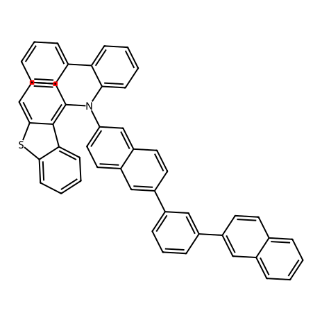 c1ccc(-c2ccccc2N(c2ccc3cc(-c4cccc(-c5ccc6ccccc6c5)c4)ccc3c2)c2cccc3sc4ccccc4c23)cc1